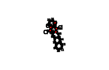 ClC1=C(Cl)C2C3c4cc5ccccc5cc4C(c4cc5ccccc5cc43)C2C(Cl)=C1Cl